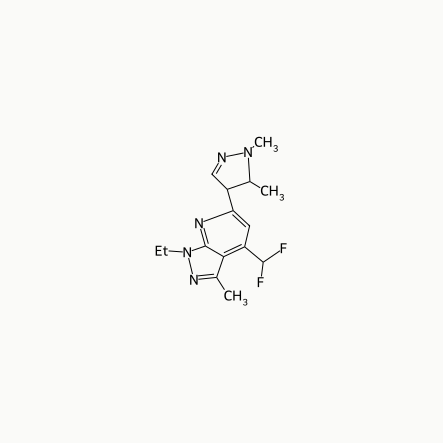 CCn1nc(C)c2c(C(F)F)cc(C3C=NN(C)C3C)nc21